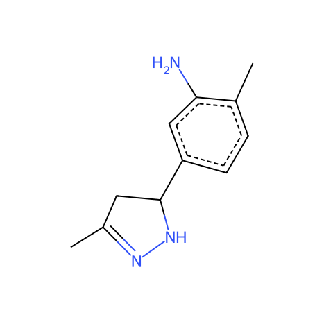 CC1=NNC(c2ccc(C)c(N)c2)C1